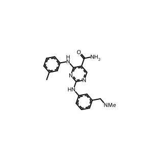 CNCc1cccc(Nc2ncc(C(N)=O)c(Nc3cccc(C)c3)n2)c1